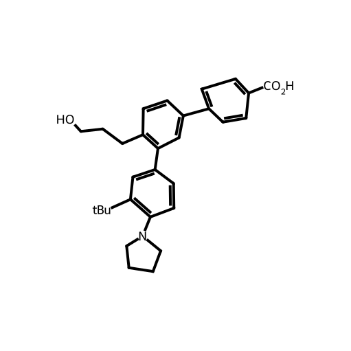 CC(C)(C)c1cc(-c2cc(-c3ccc(C(=O)O)cc3)ccc2CCCO)ccc1N1CCCC1